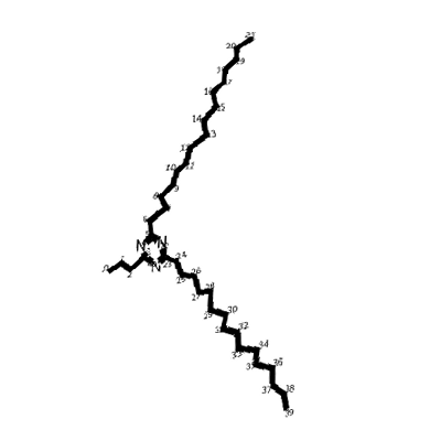 [CH2]CCc1nc(CCCCCCCCCCCCCCCC)nc(CCCCCCCCCCCCCCCC)n1